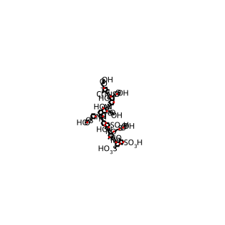 Cc1cc(N=Nc2c(S(=O)(=O)O)cc3cc(N=Nc4c(Nc5cccc(SOOO)c5)ccc5c(O)c(N=Nc6ccc7cc(SOOO)c(N=Nc8c(C)cc(SOOO)cc8Cl)c(O)c7c6)c(SOOO)cc45)ccc3c2O)c(OCCCSOOO)cc1N=Nc1cc(S(=O)(=O)O)cc2cc(S(=O)(=O)O)cc(O)c12